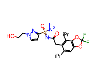 CC(C)c1cc2c(c(C(C)C)c1CC(=O)N=S(N)(=O)c1ccn(CCO)n1)OC(F)(F)O2